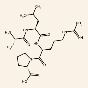 CC(C)C[C@H](NC(=O)[C@H](C)N)C(=O)N[C@@H](CCCNC(=N)N)C(=O)N1CCC[C@H]1C(=O)O